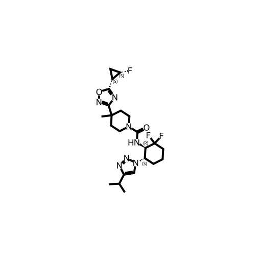 CC(C)c1cn([C@H]2CCCC(F)(F)[C@@H]2NC(=O)N2CCC(C)(c3noc([C@@H]4C[C@@H]4F)n3)CC2)nn1